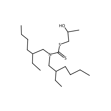 CCCCC(CC)CN(CC(CC)CCCC)C(=S)SCC(C)O